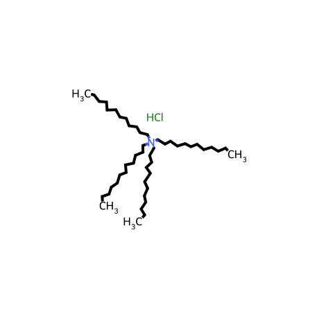 CCCCCCCCCCCC[N+](CCCCCCCCCCCC)(CCCCCCCCCCCC)CCCCCCCCCCCC.Cl